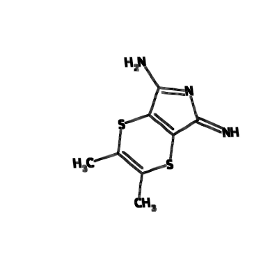 Cc1sc2c(N)nc(=N)c=2sc1C